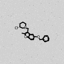 Cc1oc2ccc(OCc3ccccc3)cc2c1CN1CCC[C@@H](Cl)C1